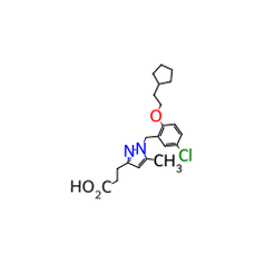 Cc1cc(CCC(=O)O)nn1Cc1cc(Cl)ccc1OCCC1CCCC1